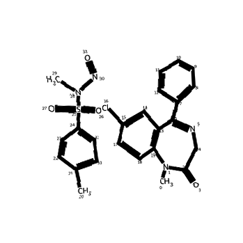 CN1C(=O)CN=C(c2ccccc2)c2cc(Cl)ccc21.Cc1ccc(S(=O)(=O)N(C)N=O)cc1